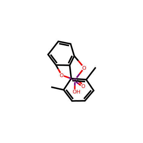 Cc1cccc(C)c1-c1c2cccc1OP(=O)(O)O2